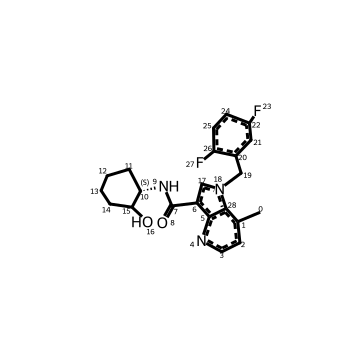 Cc1ccnc2c(C(=O)N[C@H]3CCCCC3O)cn(Cc3cc(F)ccc3F)c12